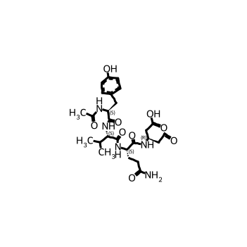 CC(=O)N[C@@H](Cc1ccc(O)cc1)C(=O)N[C@H](C(=O)N[C@@H](CCC(N)=O)C(=O)N[C@H](CC=O)CC(=O)O)C(C)C